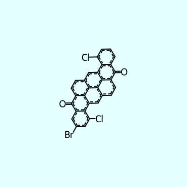 O=c1c2cccc(Cl)c2c2cc3ccc4c(=O)c5cc(Br)cc(Cl)c5c5cc6ccc1c2c6c3c45